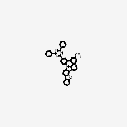 FC(F)(F)c1cccc(-c2cc(-c3nc(-c4ccccc4)nc(-c4ccccc4)n3)ccc2-n2c3ccccc3c3c4oc5ccccc5c4ccc32)c1